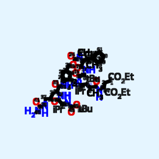 CCOC(=O)CC[C@@H](NC(=O)/C(C)=C/[C@H](C(C)C)N(C)C(=O)[C@@H](NC(=O)[C@@H](N(C)C(=O)OCc1ccc(NC(=O)[C@H](CCCNC(N)=O)NC(=O)[C@@H](NC(=O)OC(C)(C)C)C(C)C)cc1)C(C)(C)c1ccccc1)C(C)(C)C)C(=O)OCC